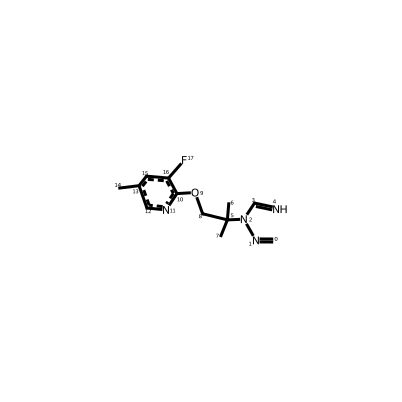 C=NN(C=N)C(C)(C)COc1ncc(C)cc1F